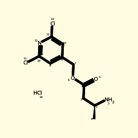 C[C@H](N)CC(=O)OCc1cc(Cl)nc(Cl)c1.Cl